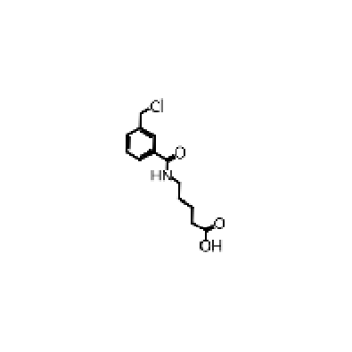 O=C(O)CCCCNC(=O)c1cccc(CCl)c1